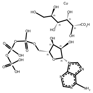 Nc1ncnc2c1ncn2[C@@H]1O[C@H](COP(=O)(O)OP(=O)(O)OP(=O)(O)O)[C@@H](O)[C@H]1O.O=C(O)[C@H](O)[C@@H](O)[C@H](O)[C@H](O)CO.[Cu]